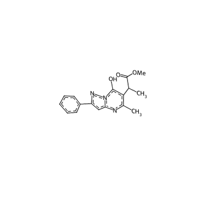 COC(=O)C(C)c1c(C)nc2cc(-c3ccccc3)nn2c1O